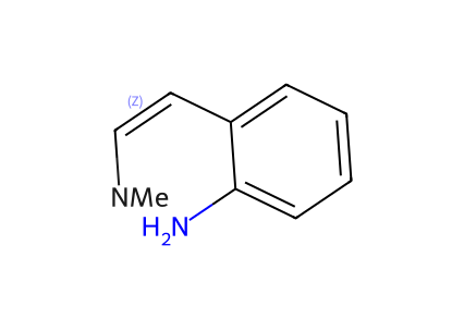 CN/C=C\c1ccccc1N